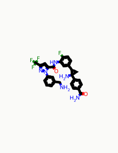 NCc1cccc(-n2nc(C(F)(F)F)cc2C(=O)Nc2cc(C3CC3(N)c3ccc(C(N)=O)cc3)ccc2F)c1